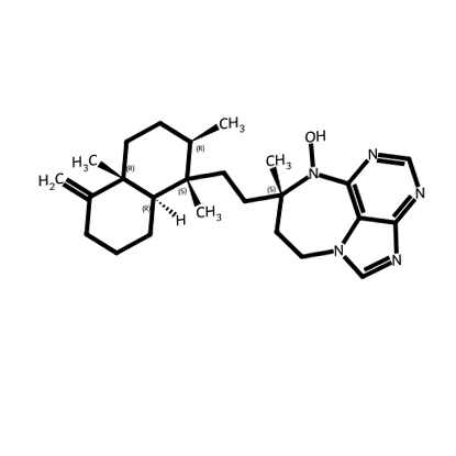 C=C1CCC[C@@H]2[C@@](C)(CC[C@@]3(C)CCn4cnc5ncnc(c54)N3O)[C@H](C)CC[C@@]12C